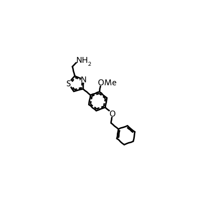 COc1cc(OCC2=CCCC=C2)ccc1-c1csc(CN)n1